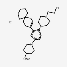 COC1CCN(c2ccc(N3CCN(CCC(C)C)CC3)c(C3=CCC4(CCCCC4)CC3)c2)CC1.Cl